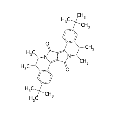 CC1c2cc(C(C)(C)C)ccc2C2=C3C(=O)N4C(=C3C(=O)N2C1C)c1ccc(C(C)(C)C)cc1C(C)C4C